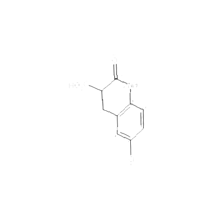 O=C(O)C1Cc2cc(Cl)ccc2NC1=O